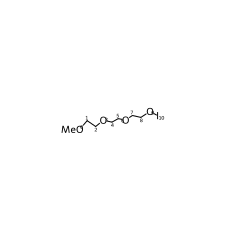 COCCOCCOCCOI